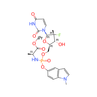 CC(C)OC(=O)[C@H](C)NP(=O)(OC[C@H]1O[C@@H](n2ccc(=O)[nH]c2=O)[C@](C)(F)[C@@H]1O)Oc1ccc2c(ccn2C)c1